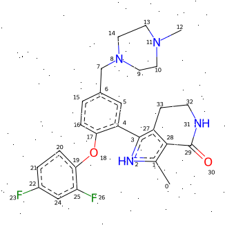 Cc1[nH]c(-c2cc(CN3CCN(C)CC3)ccc2Oc2ccc(F)cc2F)c2c1C(=O)NCC2